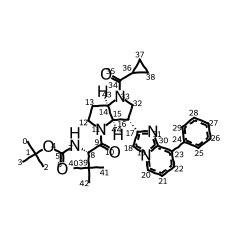 CC(C)(C)OC(=O)N[C@H](C(=O)N1CC[C@@H]2[C@H]1[C@@H](c1cn3cccc(-c4ccccc4)c3n1)CN2C(=O)C1CC1)C(C)(C)C